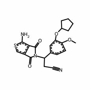 COc1ccc(C(CC#N)N2C(=O)c3csc(N)c3C2=O)cc1OC1CCCC1